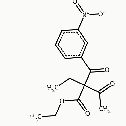 CCOC(=O)C(CC)(C(C)=O)C(=O)c1cccc([N+](=O)[O-])c1